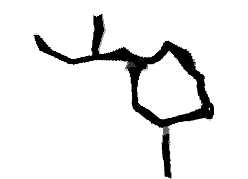 CCC(C)N1CCO[C@H](C)C1